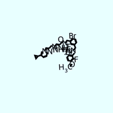 COc1ccc(Br)c(CNCc2ccc(Br)c(CNC(=O)/C(N)=C/N(N)Cc3cn4cc(C5CC5)ccc4n3)c2F)c1F